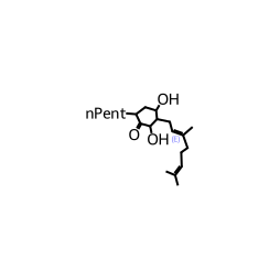 CCCCCC1CC(O)C(C/C=C(\C)CCC=C(C)C)C(O)C1=O